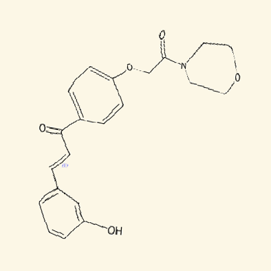 O=C(/C=C/c1cccc(O)c1)c1ccc(OCC(=O)N2CCOCC2)cc1